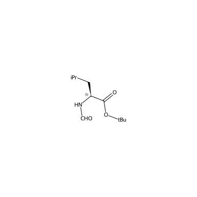 CC(C)C[C@H](NC=O)C(=O)OC(C)(C)C